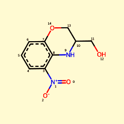 O=[N+]([O-])c1cccc2c1NC(CO)CO2